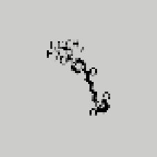 CC(C)(C)OC(=O)N1CCN(C(=O)CCCCCN2C(=O)C=CC2=O)CC1